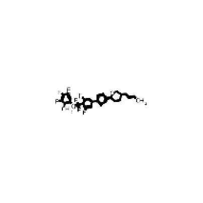 CCCCC1CCC(c2ccc(-c3cc(F)c(C(F)(F)Oc4cc(F)c(F)c(F)c4C)c(F)c3)cc2)OC1